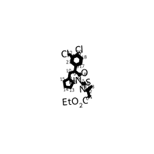 CCOC(=O)Cc1csc(NC(=O)C(CC2CCCC2)c2ccc(Cl)c(Cl)c2)n1